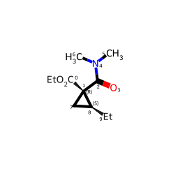 CCOC(=O)[C@]1(C(=O)N(C)C)C[C@@H]1CC